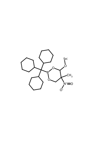 CC1([N+](=O)[O-])COB(C(C2CCCCC2)(C2CCCCC2)C2CCCCC2)OC1[O][Sn]